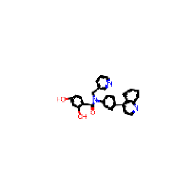 O=C(c1ccc(O)cc1O)N(Cc1cccnc1)c1ccc(-c2ccnc3ccccc23)cc1